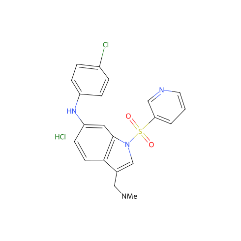 CNCc1cn(S(=O)(=O)c2cccnc2)c2cc(Nc3ccc(Cl)cc3)ccc12.Cl